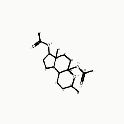 CC(=O)OC1CCC2C3CCC(C)OC3(OC(C)=O)CCC12C